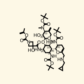 C=C(C)OC(=O)N1CC(O)(C(=O)N[C@@H]2C[C@H](NC(=O)OC(C)(C)C)[C@@H](C3OC(CNCC4CC4)=CC[C@H]3NC(=O)OC(C)(C)C)[C@H](O)[C@H]2O[C@H]2OCC(=C)[C@H](N(C)C(=O)OC(C)(C)C)[C@H]2O)C1